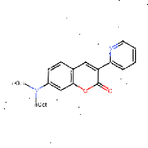 CCCCCCCCN(CCCCCCCC)c1ccc2cc(-c3ccccn3)c(=O)oc2c1